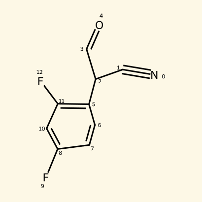 N#CC(C=O)c1ccc(F)cc1F